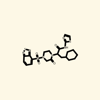 O=C(Nc1nccs1)C(CC1CCCCC1)N1CCN(S(=O)(=O)c2cccc3nsnc23)CC1=O